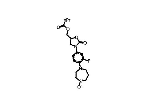 CCCC(=O)OCC1CN(c2ccc(N3CCC[S+]([O-])CC3)c(F)c2)C(=O)O1